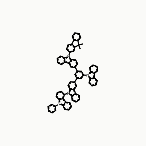 CC1(C)c2ccccc2-c2ccc(-n3c4ccccc4c4cc(-c5cc(-c6ccc7c(c6)c6ccccc6n7-c6cccc7c6c6ccccc6n7-c6ccccc6)cc(-n6c7ccccc7c7ccccc76)c5)ccc43)cc21